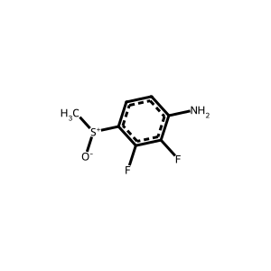 C[S+]([O-])c1ccc(N)c(F)c1F